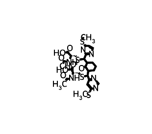 CSc1cc(C(SC[C@H](NC(C)=O)C(=O)O)C2CCCC(C(SC[C@H](NC(C)=O)C(=O)O)c3nccc(SC)n3)C2=O)ncn1